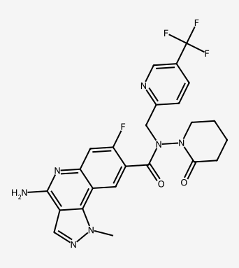 Cn1ncc2c(N)nc3cc(F)c(C(=O)N(Cc4ccc(C(F)(F)F)cn4)N4CCCCC4=O)cc3c21